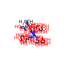 CN(C)CCN(CCN(CC(=O)O)CC(=O)O)C(CCC(=O)NCC(CNC(=O)C(O)C(O)C(OC1OC(CO)C(O)C(O)C1O)C(O)CO)(CNC(=O)C(O)C(O)C(OC1OC(CO)C(O)C(O)C1O)C(O)CO)CNC(=O)C(O)C(O)C(OC1OC(CO)C(O)C(O)C1O)C(O)CO)P(=O)(O)O